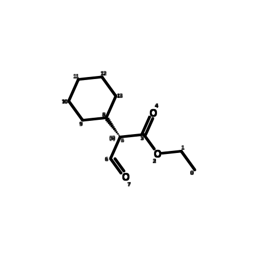 CCOC(=O)[C@H](C=O)C1CCCCC1